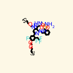 CNC(=O)c1nn(COCC[Si](C)(C)C)c2cc(-c3cc(F)c(OCOCC[Si](C)(C)C)cc3CC(F)(F)F)nc(NCc3ccccc3CS(N)(=O)=O)c12